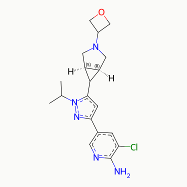 CC(C)n1nc(-c2cnc(N)c(Cl)c2)cc1C1[C@H]2CN(C3COC3)C[C@@H]12